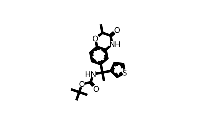 CC1Oc2ccc(C(C)(NC(=O)OC(C)(C)C)c3ccsc3)cc2NC1=O